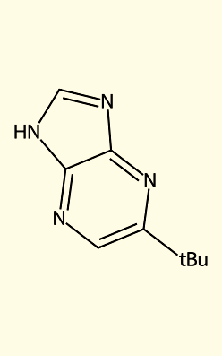 CC(C)(C)c1cnc2[nH]cnc2n1